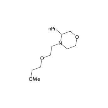 CCCC1COCCN1CCOCCOC